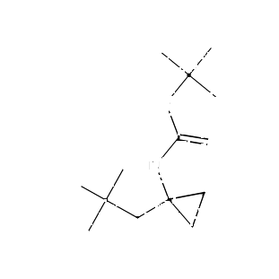 CC(C)(O)CC1(NC(=O)OC(C)(C)C)CC1